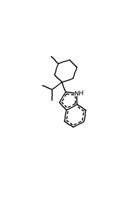 CC1CCCC(c2cc3ccccc3[nH]2)(C(C)C)C1